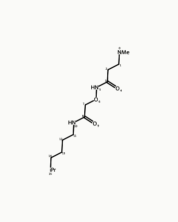 CNCCC(=O)NOCC(=O)NCCCCC(C)C